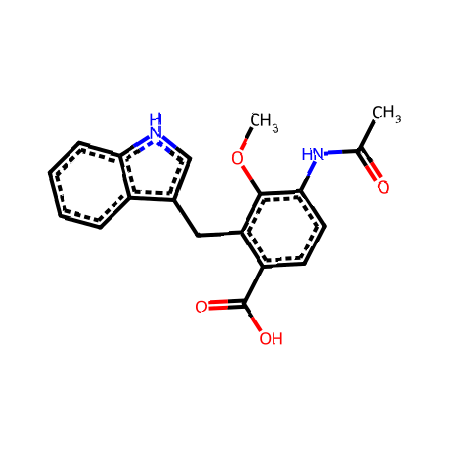 COc1c(NC(C)=O)ccc(C(=O)O)c1Cc1c[nH]c2ccccc12